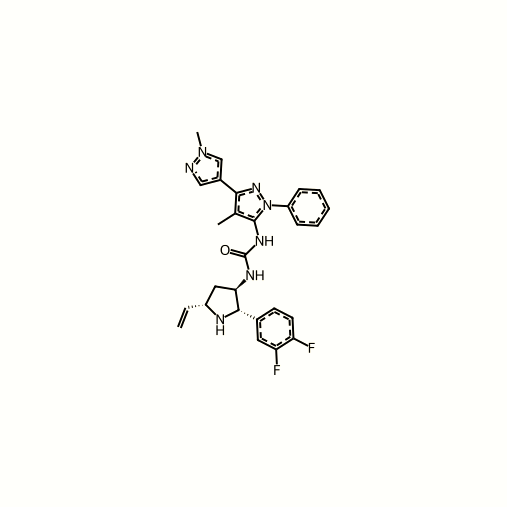 C=C[C@@H]1C[C@@H](NC(=O)Nc2c(C)c(-c3cnn(C)c3)nn2-c2ccccc2)[C@H](c2ccc(F)c(F)c2)N1